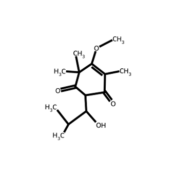 COC1=C(C)C(=O)C(C(O)C(C)C)C(=O)C1(C)C